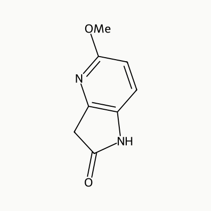 COc1ccc2c(n1)CC(=O)N2